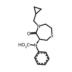 O=C1[C@H](N(C(=O)O)c2ccccc2)CSCCN1CC1CC1